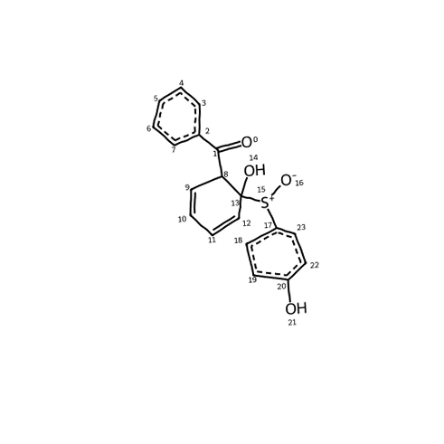 O=C(c1ccccc1)C1C=CC=CC1(O)[S+]([O-])c1ccc(O)cc1